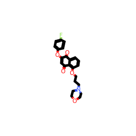 O=C1C(Oc2ccc(F)cc2)=CC(=O)c2c(OCCCN3CCOCC3)cccc21